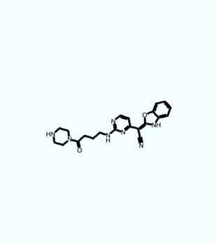 N#CC(=C1Nc2ccccc2O1)c1ccnc(NCCCC(=O)N2CCNCC2)n1